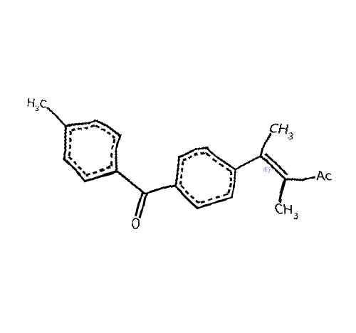 CC(=O)/C(C)=C(\C)c1ccc(C(=O)c2ccc(C)cc2)cc1